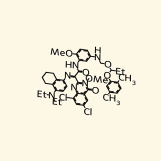 CCC(OCNc1ccc(OC)c(NC(=O)/C(=N/c2ccc(N(CC)CC)c3c2CCCC3)c2nc3c(Cl)cc(Cl)cc3c(=O)n2OC)c1)Oc1cc(C)ccc1C